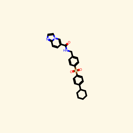 O=C(NCc1ccc(S(=O)(=O)c2ccc(C3CCCCC3)cc2)cc1)c1ccc2nccn2c1